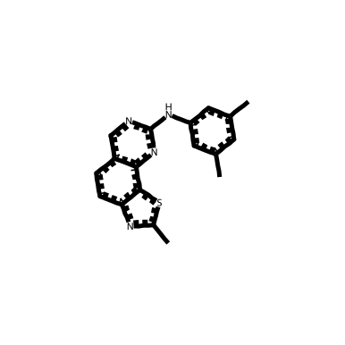 Cc1cc(C)cc(Nc2ncc3ccc4nc(C)sc4c3n2)c1